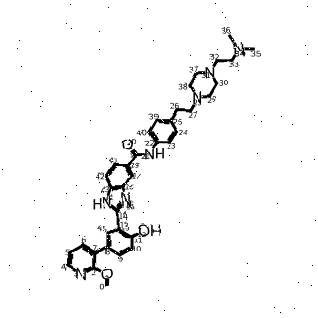 COc1ncccc1-c1ccc(O)c(-c2nc3cc(C(=O)Nc4ccc(CCN5CCN(CCN(C)C)CC5)cc4)ccc3[nH]2)c1